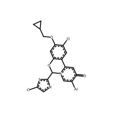 CC(=O)c1cn2c(cc1=O)-c1cc(Cl)c(OCC3CC3)cc1OC2c1ncc(Cl)s1